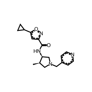 C[C@@H]1CN(Cc2ccncc2)C[C@@H]1NC(=O)c1cc(C2CC2)on1